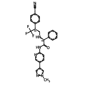 Cn1cc(-c2ccc(NC(=O)[C@@H](NC[C@H](c3ccc(C#N)cc3)C(F)(F)F)c3ccccc3)nc2)cn1